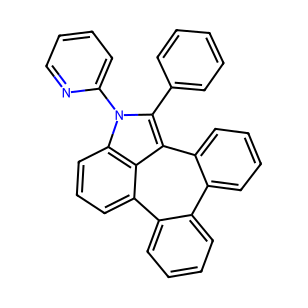 c1ccc(-c2c3c4c(cccc4n2-c2ccccn2)-c2ccccc2-c2ccccc2-3)cc1